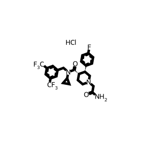 Cl.NC(=O)CN1CC[C@H](C(=O)N(Cc2cc(C(F)(F)F)cc(C(F)(F)F)c2)C2CC2)[C@H](c2ccc(F)cc2)C1